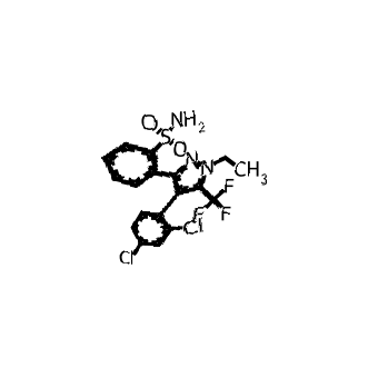 CCn1nc(-c2ccccc2S(N)(=O)=O)c(-c2ccc(Cl)cc2Cl)c1C(F)(F)F